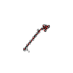 CCn1c(-c2ccc(/C=C/C(=O)OCCOCCOCCOCCOCCOCCOCCOCCOCCOC)cc2)nc2c1c(=O)n(CC1CCCCC1)c(=O)n2CC1CCCCC1